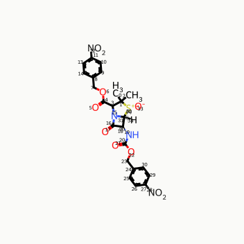 CC1(C)C(C(=O)OCc2ccc([N+](=O)[O-])cc2)N2C(=O)[C@@H](NC(=O)OCc3ccc([N+](=O)[O-])cc3)[C@H]2[S@@+]1[O-]